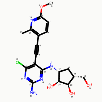 CCOc1ccc(C#Cc2c(Cl)nc(N)nc2N[C@@H]2C[C@H](CO)[C@@H](O)[C@H]2O)c(C)n1